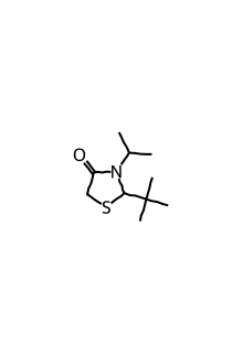 CC(C)N1C(=O)CSC1C(C)(C)C